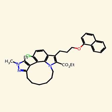 CCOC(=O)c1c(CCCOc2cccc3ccccc23)c2ccc(Cl)c3c2n1CCCCCCc1nn(C)c(CC)c1-3